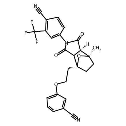 C[C@]12CC[C@](CCOc3cccc(C#N)c3)(O1)C1C(=O)N(c3ccc(C#N)c(C(F)(F)F)c3)C(=O)[C@H]12